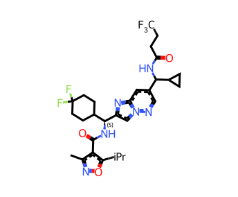 Cc1noc(C(C)C)c1C(=O)N[C@H](c1cn2ncc(C(NC(=O)CCC(F)(F)F)C3CC3)cc2n1)C1CCC(F)(F)CC1